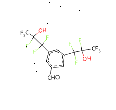 O=Cc1cc(C(F)(F)C(O)(F)C(F)(F)F)cc(C(F)(F)C(O)(F)C(F)(F)F)c1